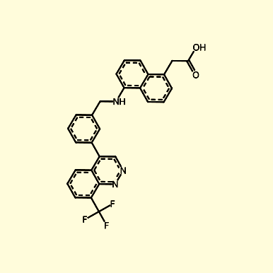 O=C(O)Cc1cccc2c(NCc3cccc(-c4cnnc5c(C(F)(F)F)cccc45)c3)cccc12